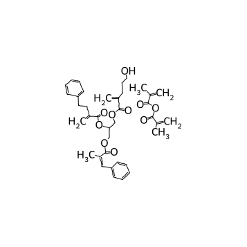 C=C(C)C(=O)OC(=O)C(=C)C.C=C(CCCO)C(=O)OCC(COC(=O)C(C)=Cc1ccccc1)OC(=O)C(=C)CCc1ccccc1